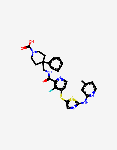 Cc1ccnc(Nc2ncc(Sc3ccnc(C(=O)NCC4(c5ccccc5)CCN(C(=O)O)CC4)c3F)s2)c1